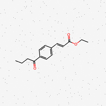 CCCC(=O)c1ccc(/C=C/C(=O)OCC)cc1